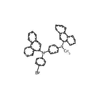 CN(c1ccc(N(c2ccc(Br)cc2)c2cc3ccccc3c3ccccc23)cc1)c1cc2ccccc2c2ccccc12